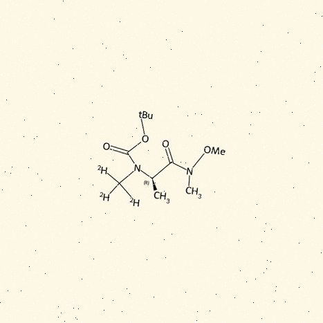 [2H]C([2H])([2H])N(C(=O)OC(C)(C)C)[C@H](C)C(=O)N(C)OC